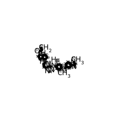 C=CC(=O)N1CC[C@@H]2[C@H](c3ccc4ncnc(Nc5cc(C)c(Oc6ccc7c(c6)ncn7C)cc5F)c4n3)CC[C@@H]21